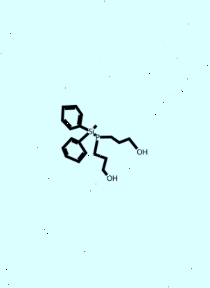 C[Si](c1ccccc1)(c1ccccc1)P(CCCO)CCCO